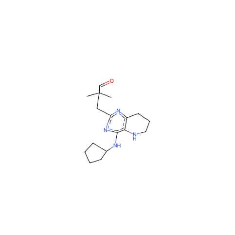 CC(C)(C=O)Cc1nc2c(c(NC3CCCC3)n1)NCCC2